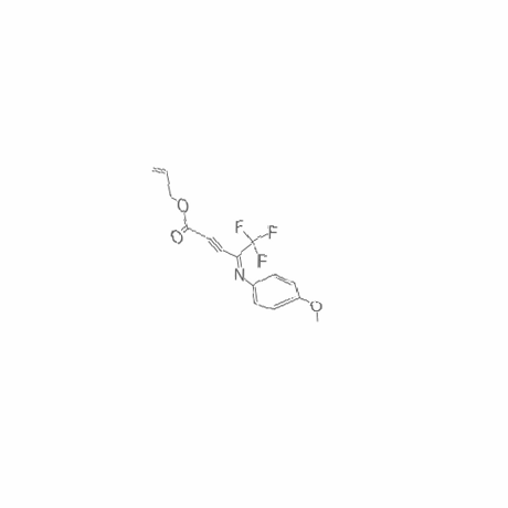 C=CCOC(=O)C#CC(=Nc1ccc(OC)cc1)C(F)(F)F